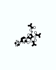 CC(C)C(=O)OC[C@H]1OC(n2ccc(-n3cncn3)nc2=O)[C@H](OC(=O)C(C)C)[C@@H]1OC(=O)C(C)C